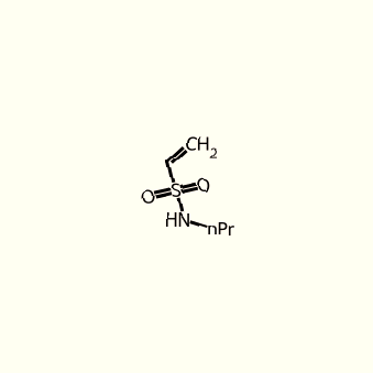 C=CS(=O)(=O)NCCC